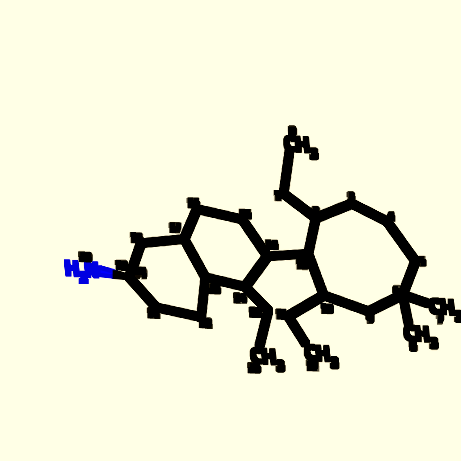 CCC1CCCC(C)(C)CC(CC)C1C1CCC2C[C@H](N)CCC2C1CC